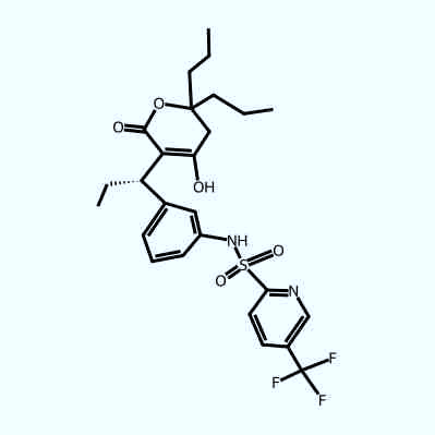 CCCC1(CCC)CC(O)=C([C@@H](CC)c2cccc(NS(=O)(=O)c3ccc(C(F)(F)F)cn3)c2)C(=O)O1